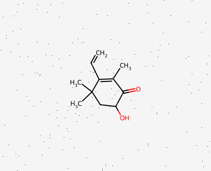 C=CC1=C(C)C(=O)C(O)CC1(C)C